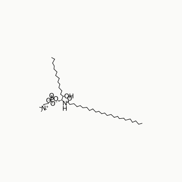 CCCCCCCCCCCCCCCCCCCCCCCCC(=O)N[C@@H](COP(=O)([O-])OCC[N+](C)(C)C)[C@H](O)CCCCCCCCCCCCC